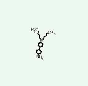 CCCCCN(CCCCC)c1ccc(-c2ccc(N)cc2)cc1